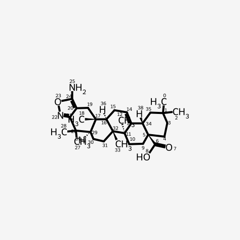 CC1(C)CC[C@]2(C(=O)O)CC[C@]3(C)C(=CC[C@@H]4[C@@]5(C)Cc6c(noc6N)C(C)(C)[C@@H]5CC[C@]43C)[C@@H]2C1